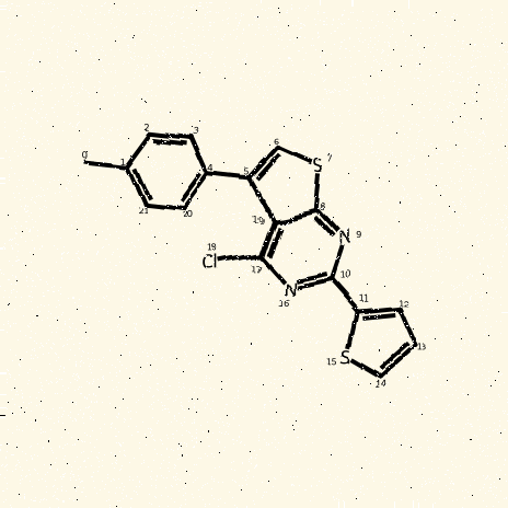 Cc1ccc(-c2csc3nc(-c4cccs4)nc(Cl)c23)cc1